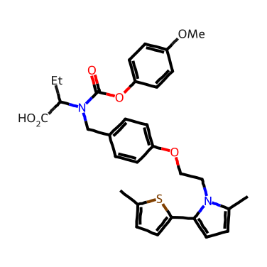 CCC(C(=O)O)N(Cc1ccc(OCCn2c(C)ccc2-c2ccc(C)s2)cc1)C(=O)Oc1ccc(OC)cc1